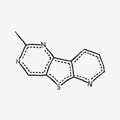 Cc1ncc2sc3ncccc3c2n1